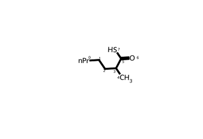 CCCCCC(C)C(=O)S